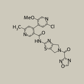 COc1cnc(Cl)cc1-c1cc(C)ncc1C(=O)Nc1nc2c(s1)CN(C(=O)c1ncon1)C2